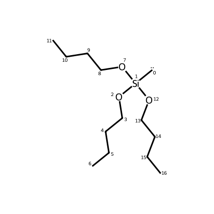 [CH][Si](OCCCC)(OCCCC)OCCCC